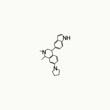 CC1c2cc(N3CCCC3)ccc2C(c2ccc3[nH]ccc3c2)CN1C